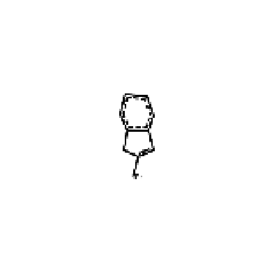 CCCC1=Cc2ccccc2[C]1